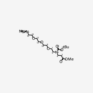 COC(=O)CCN(CCOCCOCCOCCN=[N+]=[N-])C(=O)OC(C)(C)C